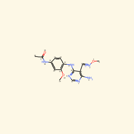 CO/N=C/c1c(N)ncnc1Nc1ccc(NC(C)=O)cc1OC